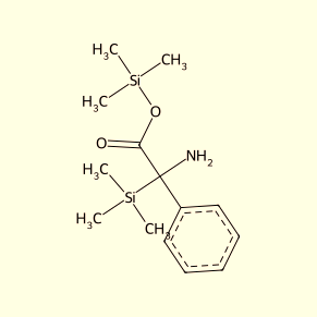 C[Si](C)(C)OC(=O)C(N)(c1ccccc1)[Si](C)(C)C